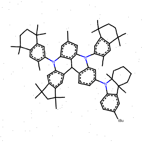 Cc1cc2c3c(c1)N(c1cc4c(cc1C)C(C)(C)CCC4(C)C)c1cc4c(cc1C3c1ccc(N3c5ccc(C(C)(C)C)cc5C5(C)CCCCC35C)cc1N2c1cc2c(cc1C)C(C)(C)CCC2(C)C)C(C)(C)CC4(C)C